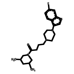 CC1CC(C)CN(C(=O)CCCN2CCN(c3csc4cc(F)ccc34)CC2)C1